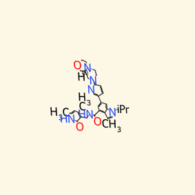 Cc1cc(C)c(CNC(=O)c2cc(-c3ccc(N4CCN5CCOC[C@@H]5C4)nc3)cc3c2c(C)cn3C(C)C)c(=O)[nH]1